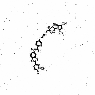 C[C@@H]1C[C@@H](O)CN1C(=O)[C@@H](NC(=O)COCCOc1ccc(C(=O)Nc2ccc3oc(-c4ccc(=O)n(C)n4)nc3c2)nc1)C(C)(C)C